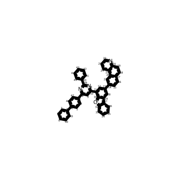 c1ccc(-c2ccc(-c3cc(-c4cc(-c5ccc6ccc7ncccc7c6c5)cc5c4oc4ccccc45)nc(-c4ccccc4)n3)cc2)cc1